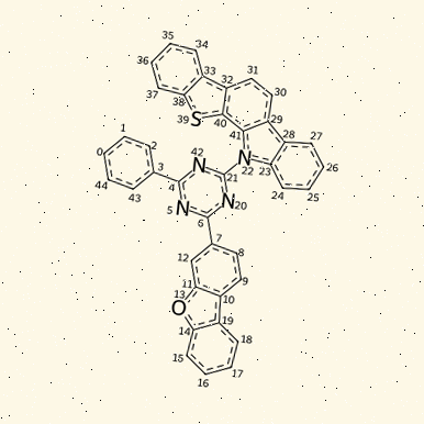 c1ccc(-c2nc(-c3ccc4c(c3)oc3ccccc34)nc(-n3c4ccccc4c4ccc5c6ccccc6sc5c43)n2)cc1